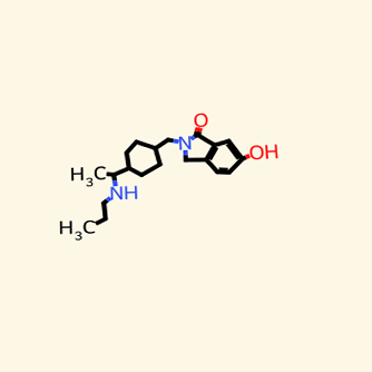 CCCNC(C)C1CCC(CN2Cc3ccc(O)cc3C2=O)CC1